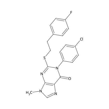 Cn1cnc2c(=O)n(-c3ccc(Cl)cc3)c(SCCc3ccc(F)cc3)nc21